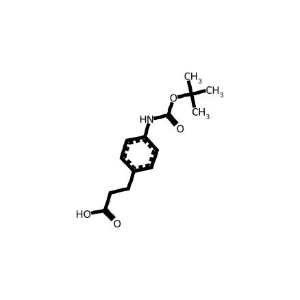 CC(C)(C)OC(=O)Nc1ccc(CCC(=O)O)cc1